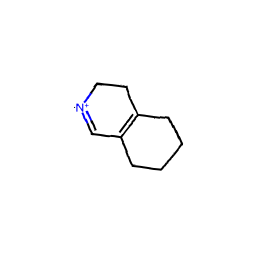 C1=[N+]CCC2=C1CCCC2